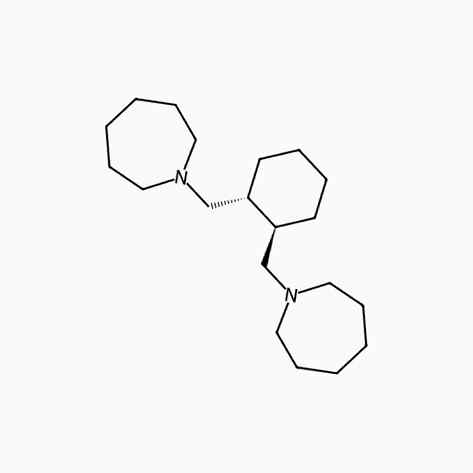 C1CCCN(C[C@@H]2CCCC[C@H]2CN2CCCCCC2)CC1